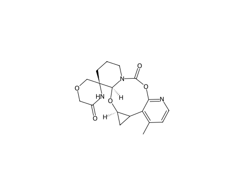 Cc1ccnc2c1C1C[C@H]1O[C@@H]1N(CCC[C@@]13COCC(=O)N3)C(=O)O2